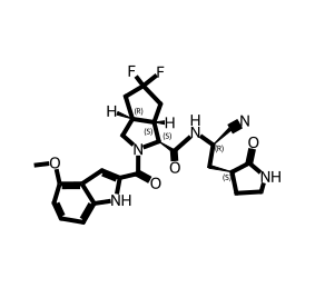 COc1cccc2[nH]c(C(=O)N3C[C@@H]4CC(F)(F)C[C@@H]4[C@H]3C(=O)N[C@@H](C#N)C[C@@H]3CCNC3=O)cc12